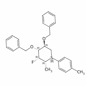 Cc1ccc([SH]2C[C@H](OCc3ccccc3)[C@@H](OCc3ccccc3)[C@@H](F)[C@H]2C)cc1